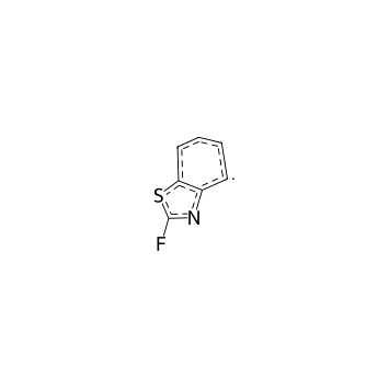 Fc1nc2[c]cccc2s1